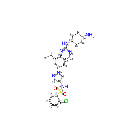 CCc1cc(-n2cc(NS(=O)(=O)c3ccccc3Cl)cn2)cc2cnc(NC3CCC(N)CC3)nc12